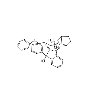 C[N+](C)(CCCOc1ccccc1)C1C2CCC1C(NC(=O)C(O)(c1ccccc1)c1ccccc1)C2